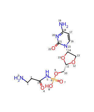 NCCC(=O)NP(=O)(O)OC[C@H]1OC[C@@H](n2ccc(N)nc2=O)O1